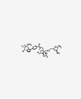 BC1CN(C(C)(C)C)CC(COCP(=O)(N(C)C)N2CCN(C(=O)c3ccc(-n4ncc5c4CC(C)(C)CC5=O)cc3)CC2)O1